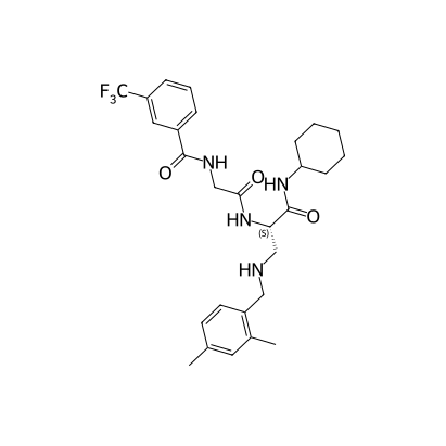 Cc1ccc(CNC[C@H](NC(=O)CNC(=O)c2cccc(C(F)(F)F)c2)C(=O)NC2CCCCC2)c(C)c1